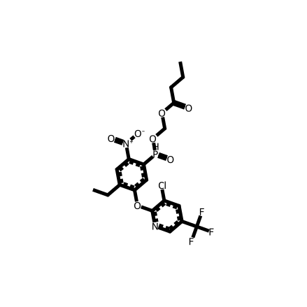 CCCC(=O)OCO[PH](=O)c1cc(Oc2ncc(C(F)(F)F)cc2Cl)c(CC)cc1[N+](=O)[O-]